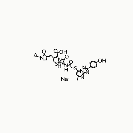 Cc1cc(SCC(=O)N[C@@H]2C(=O)N3C(C(=O)O)=C(C=C4CCN(C5CC5)C4=O)CS[C@H]23)n2nc(-c3ccc(O)cc3)nc2n1.[Na]